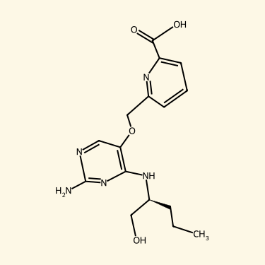 CCC[C@@H](CO)Nc1nc(N)ncc1OCc1cccc(C(=O)O)n1